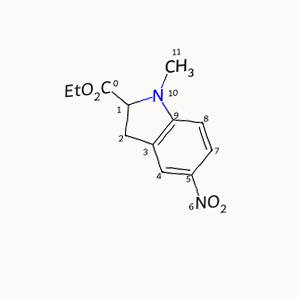 CCOC(=O)C1Cc2cc([N+](=O)[O-])ccc2N1C